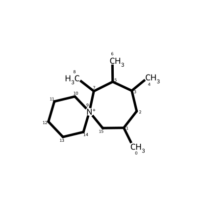 CC1CC(C)C(C)C(C)[N+]2(CCCCC2)C1